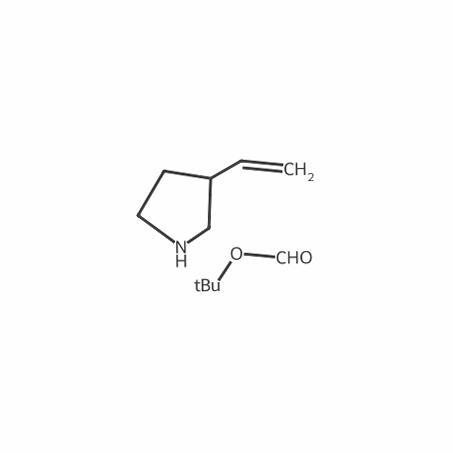 C=CC1CCNC1.CC(C)(C)OC=O